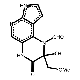 COCC1(C)C(=O)Nc2cnc3[nH]ccc3c2N1C=O